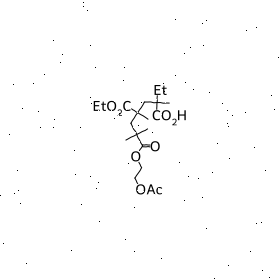 CCOC(=O)C(C)(CC(C)(C)C(=O)OCCOC(C)=O)CC(C)(CC)C(=O)O